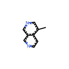 Cc1cncc2cnccc12